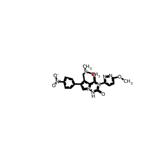 COc1ccc(-n2c(=O)[nH]n3cc(-c4ccc([N+](=O)[O-])cc4)c(CN(C)C)c3c2=O)nn1